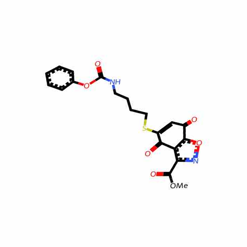 COC(=O)c1noc2c1C(=O)C(SCCCCNC(=O)Oc1ccccc1)=CC2=O